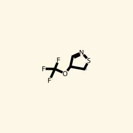 FC(F)(F)OC1[C]SN=C1